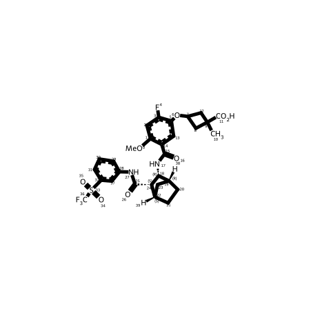 COc1cc(F)c(OC2CC(C)(C(=O)O)C2)cc1C(=O)N[C@@H]1[C@@H]2CC[C@@H](C2)[C@@H]1C(=O)Nc1cccc(S(=O)(=O)C(F)(F)F)c1